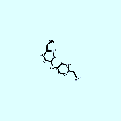 CC(C)CC1OCC(OC2COC(CC(C)C)OC2)CO1